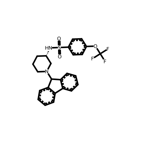 O=S(=O)(N[C@H]1CCCN(C2c3ccccc3-c3ccccc32)C1)c1ccc(OC(F)(F)F)cc1